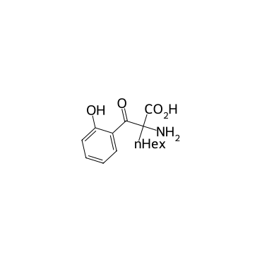 CCCCCCC(N)(C(=O)O)C(=O)c1ccccc1O